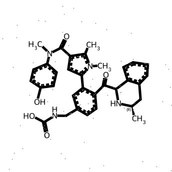 Cc1c(C(=O)N(C)c2ccc(O)cc2)cc(-c2cc(CNC(=O)O)ccc2C(=O)C2N[C@H](C)Cc3ccccc32)n1C